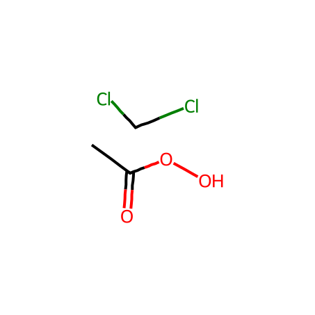 CC(=O)OO.ClCCl